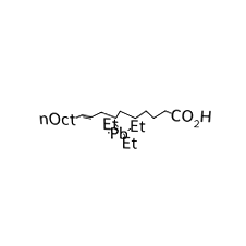 CCCCCCCCC=CCCCCCCCC(=O)O.C[CH2][Pb]([CH2]C)[CH2]C